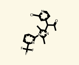 CC(=O)C(c1ccnc(Cl)c1)c1nc(C)n(-c2cccc(C(F)(F)F)n2)c1C